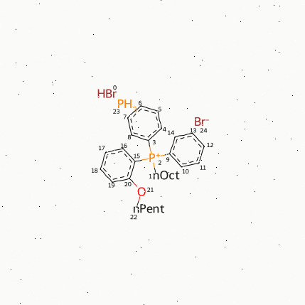 Br.CCCCCCCC[P+](c1ccccc1)(c1ccccc1)c1ccccc1OCCCCC.P.[Br-]